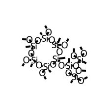 CO[Si](C)(OC)O[Si](C)(O[Si](C)(OC)OC)O[Si]1(C)O[Si](C)(OC)O[Si](C)(OC)O[Si](C)(OC)O[Si](C)(OC)O[Si](C)(OC)O1